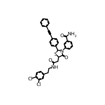 NC(=O)c1cccc(N2C(=O)C(CC(=O)NCCc3ccc(Cl)c(Cl)c3)SC2c2ccc(C#Cc3ccccc3)cc2)c1